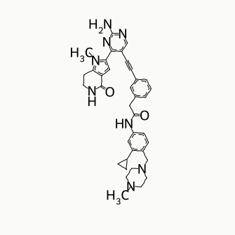 CN1CCN(Cc2ccc(NC(=O)Cc3cccc(C#Cc4cnc(N)nc4-c4cc5c(n4C)CCNC5=O)c3)cc2C2CC2)CC1